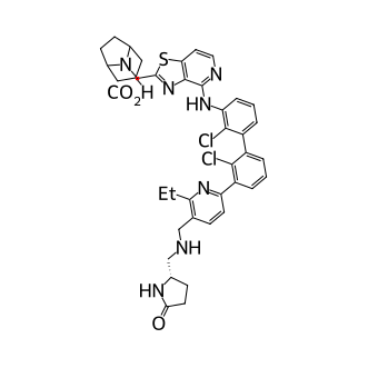 CCc1nc(-c2cccc(-c3cccc(Nc4nccc5sc(CN6C7CCC6CC(C(=O)O)C7)nc45)c3Cl)c2Cl)ccc1CNC[C@@H]1CCC(=O)N1